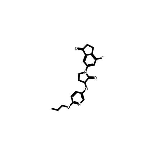 CCCOc1ccc(OC2CCN(c3cc(F)c4c(c3)C(=O)CC4)C2=O)cn1